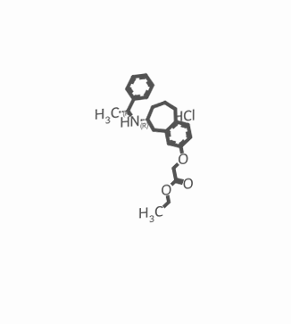 CCOC(=O)COc1ccc2c(c1)C[C@H](N[C@H](C)c1ccccc1)CCC2.Cl